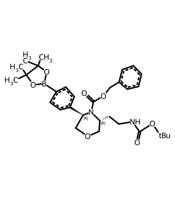 CC(C)(C)OC(=O)NCC[C@@H]1COC[C@@H](c2ccc(B3OC(C)(C)C(C)(C)O3)cc2)N1C(=O)OCc1ccccc1